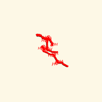 CCCCCCCCC#CCCCCCCC(O)(O)C(=O)OCCCCCCCCCCOC(=O)C(O)(O)CCCCCCC#CCCCCCCCC.CCCCCCCCC#CCCCCCCC(O)(O)C(=O)OCCCCCCCCCCOC(=O)C(O)(O)CCCCCCC#CCCCCCCCC.COC(=O)/C(O)=C(\O)C(=O)OC.O=C(O)CCCCCCCCCCC(=O)O